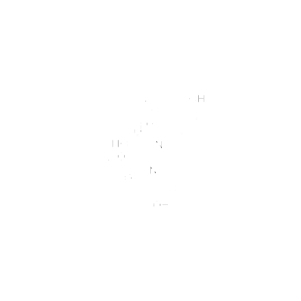 CC(C)(C)OC(=O)CN(CC(=O)O)CC(Cc1ccc(O)cc1)N(CC(=O)O)CC(=O)OC(C)(C)C